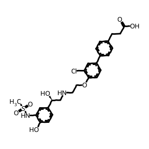 CS(=O)(=O)Nc1cc([C@@H](O)CNCCOc2ccc(-c3ccc(CCC(=O)O)cc3)cc2Cl)ccc1O